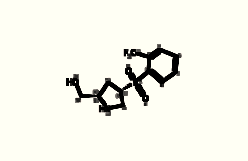 O=S(=O)(c1ccccc1C(F)(F)F)[C@@H]1CN[C@@H](CO)C1